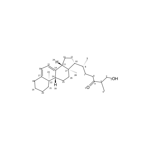 CC(CO)C(=O)CC[C@@H](C)[C@H]1CC[C@H]2C3=CC=C4CCCC[C@]4(C)[C@H]3CC[C@]12C